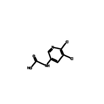 O=C(O)Nc1cnc(Cl)c(Cl)c1